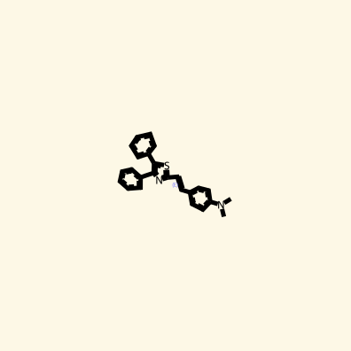 CN(C)c1ccc(/C=C/c2nc(-c3ccccc3)c(-c3ccccc3)s2)cc1